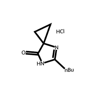 CCCCC1=NC2(CC2)C(=O)N1.Cl